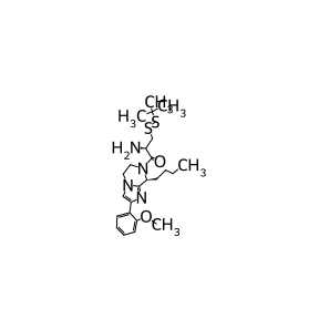 CCCC[C@H]1c2nc(-c3ccccc3OC)cn2CCN1C(=O)[C@@H](N)CSSC(C)(C)C